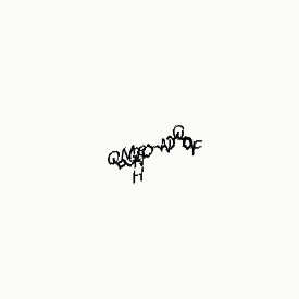 COCC1CC(CC(=O)N[C@H]2CC[C@H](CCN3CCC(C(=O)c4ccc(F)cc4)CC3)CC2)C1